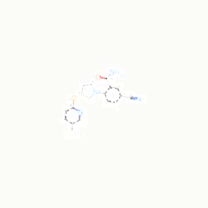 Cc1ccc(O[C@@H]2CCN(c3ccc(C#N)cc3C(N)=O)C2)nc1